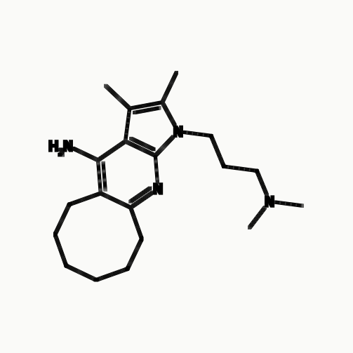 Cc1c(C)n(CCCN(C)C)c2nc3c(c(N)c12)CCCCCC3